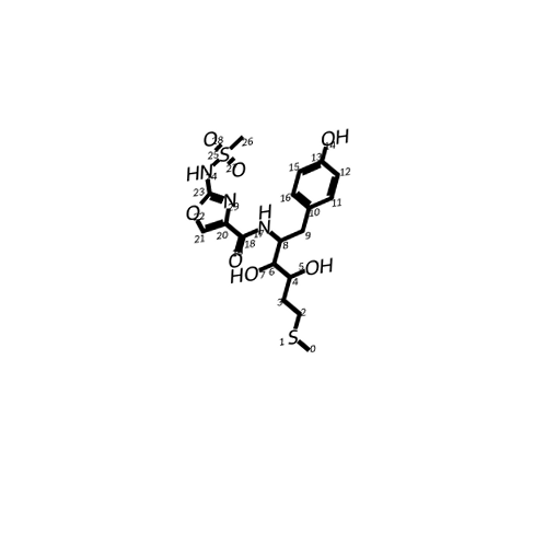 CSCCC(O)C(O)C(Cc1ccc(O)cc1)NC(=O)c1coc(NS(C)(=O)=O)n1